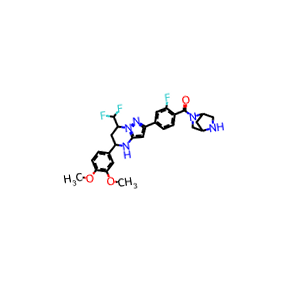 COc1ccc(C2CC(C(F)F)n3nc(-c4ccc(C(=O)N5CC6CC5CN6)c(F)c4)cc3N2)cc1OC